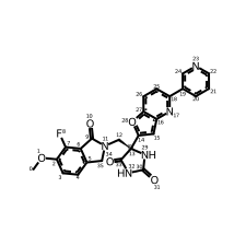 COc1ccc2c(c1F)C(=O)N(C[C@@]1(c3cc4nc(-c5cccnc5)ccc4o3)NC(=O)NC1=O)C2